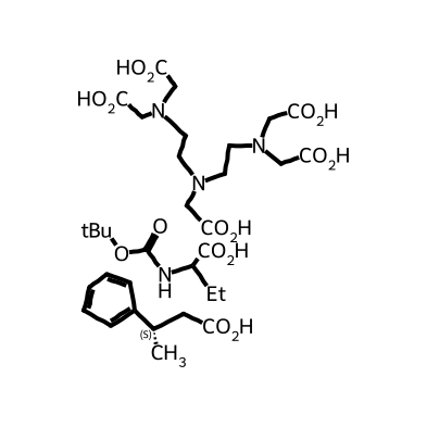 CCC(NC(=O)OC(C)(C)C)C(=O)O.C[C@@H](CC(=O)O)c1ccccc1.O=C(O)CN(CCN(CC(=O)O)CC(=O)O)CCN(CC(=O)O)CC(=O)O